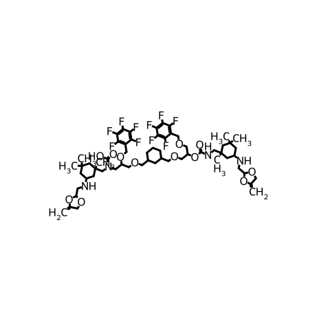 C=C1COC(CNC2CC(C)(C)CC(C)(CNC(=O)OC(COCc3c(F)c(F)c(F)c(F)c3F)COCC3CCCC(COCC(CN(CC4(C)CC(NCC5OCC(=C)O5)CC(C)(C)C4)C(=O)O)OCc4c(F)c(F)c(F)c(F)c4F)C3)C2)O1